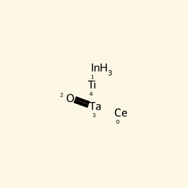 [Ce].[InH3].[O]=[Ta].[Ti]